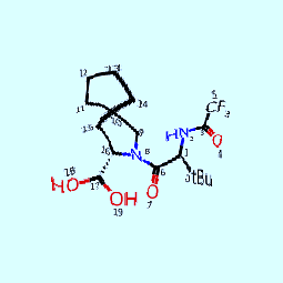 CC(C)(C)[C@H](NC(=O)C(F)(F)F)C(=O)N1CC2(CCCC2)C[C@H]1C(O)O